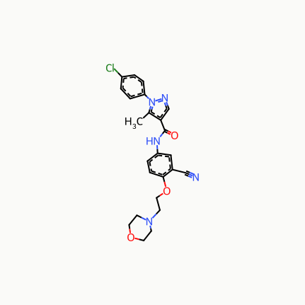 Cc1c(C(=O)Nc2ccc(OCCN3CCOCC3)c(C#N)c2)cnn1-c1ccc(Cl)cc1